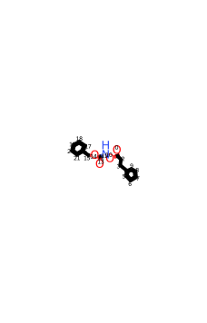 O=C(CCc1ccccc1)ONC(=O)OCc1ccccc1